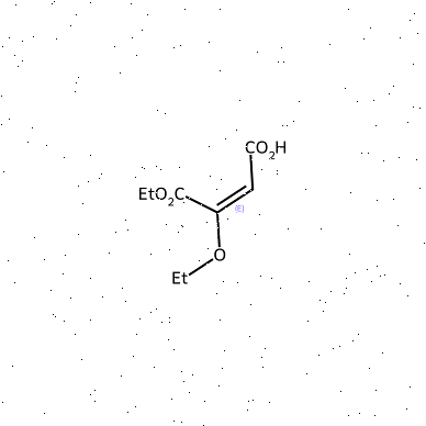 CCOC(=O)/C(=C\C(=O)O)OCC